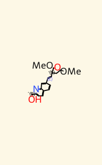 COCC[C@@](C)(/C=C/c1ccc2ccc([C@@H](C)O)nc2c1)C(=O)OC